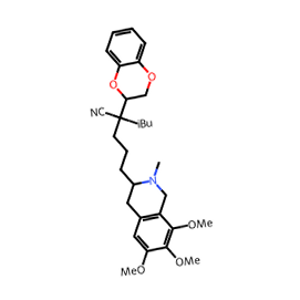 CCC(C)C(C#N)(CCCC1Cc2cc(OC)c(OC)c(OC)c2CN1C)C1COc2ccccc2O1